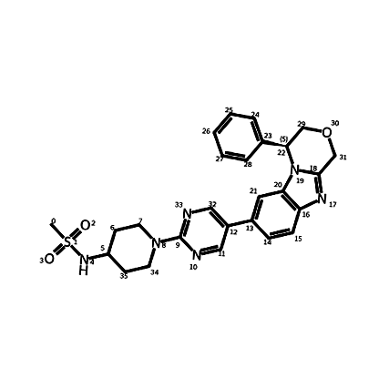 CS(=O)(=O)NC1CCN(c2ncc(-c3ccc4nc5n(c4c3)[C@@H](c3ccccc3)COC5)cn2)CC1